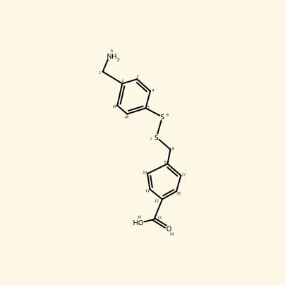 NCc1ccc(SSCc2ccc(C(=O)O)cc2)cc1